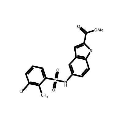 COC(=O)c1cc2cc(NS(=O)(=O)c3cccc(Cl)c3C)ccc2s1